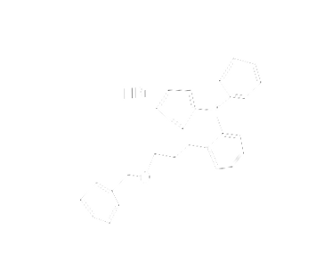 Br.c1ccc(COCCCc2ccccc2P(c2ccccc2)c2ccccc2)cc1